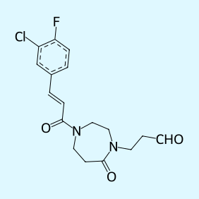 O=CCCN1CCN(C(=O)C=Cc2ccc(F)c(Cl)c2)CCC1=O